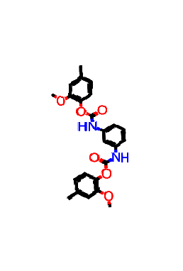 COc1cc(C)ccc1OC(=O)Nc1cccc(NC(=O)Oc2ccc(C)cc2OC)c1